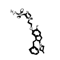 CC1CN(C2Cc3cc(F)c(OCC[N+]4(C)C=NC(S(N)(=O)=O)=C4)cc3C2Cc2ccccc2)C1